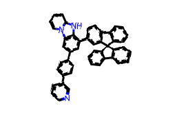 C1=CC2Nc3c(-c4ccc5c(c4)C4(c6ccccc6-c6ccccc64)c4ccccc4-5)cc(-c4ccc(-c5cccnc5)cc4)cc3N2C=C1